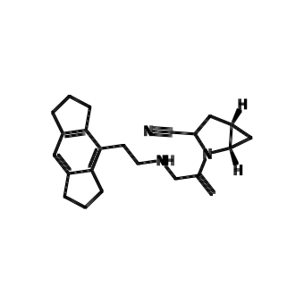 C=C(CNCCc1c2c(cc3c1CCC3)CCC2)N1C(C#N)C[C@@H]2C[C@@H]21